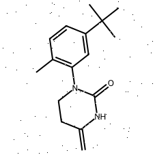 C=C1CCN(c2cc(C(C)(C)C)ccc2C)C(=O)N1